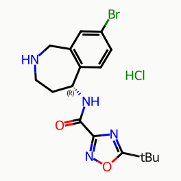 CC(C)(C)c1nc(C(=O)N[C@@H]2CCNCc3cc(Br)ccc32)no1.Cl